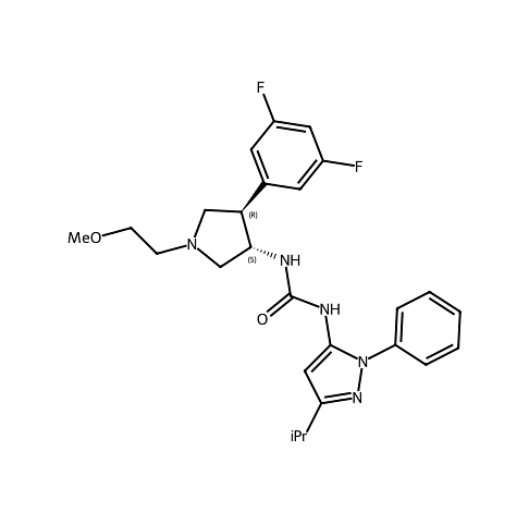 COCCN1C[C@@H](NC(=O)Nc2cc(C(C)C)nn2-c2ccccc2)[C@H](c2cc(F)cc(F)c2)C1